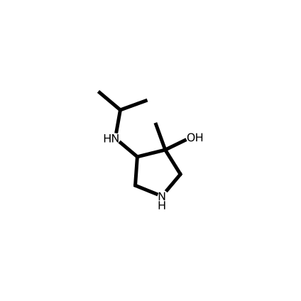 CC(C)NC1CNCC1(C)O